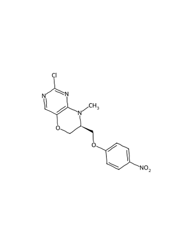 CN1c2nc(Cl)ncc2OC[C@@H]1COc1ccc([N+](=O)[O-])cc1